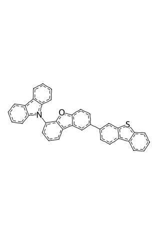 c1ccc2c(c1)sc1cc(-c3ccc4oc5c(-n6c7ccccc7c7ccccc76)cccc5c4c3)ccc12